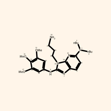 CCCCN(CCCC)c1ccc2nc(Nc3cc(OC)c(OC)c(OC)c3)n(CCCN)c2n1